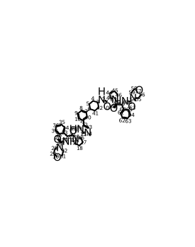 O=C(N[C@H]1CC[C@H](c2cccc(-c3cnc([C@@H]4CCCN4C(=O)[C@H](NC(=O)N4CCOCC4)c4ccccc4)[nH]3)c2)CC1)[C@@H]1CCCN1C(=O)[C@H](NC(=O)N1CCOCC1)c1ccccc1